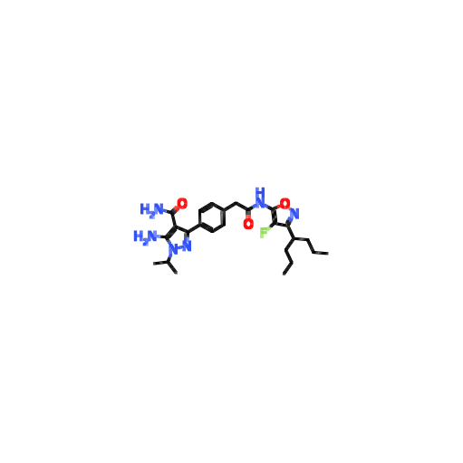 CCCC(CCC)c1noc(NC(=O)Cc2ccc(-c3nn(C(C)C)c(N)c3C(N)=O)cc2)c1F